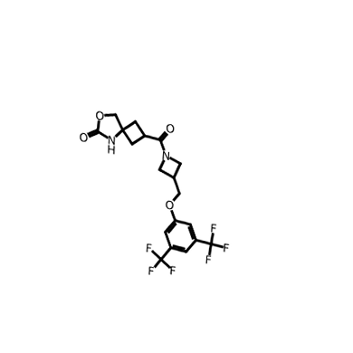 O=C1NC2(CO1)CC(C(=O)N1CC(COc3cc(C(F)(F)F)cc(C(F)(F)F)c3)C1)C2